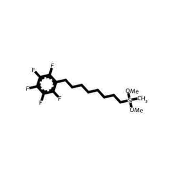 CO[Si](C)(CCCCCCCCc1c(F)c(F)c(F)c(F)c1F)OC